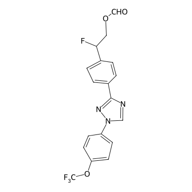 O=COCC(F)c1ccc(-c2ncn(-c3ccc(OC(F)(F)F)cc3)n2)cc1